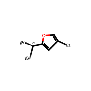 CCc1coc([C@H](C(C)C)C(C)(C)C)c1